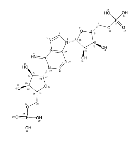 N=c1c2ncn([C@@H]3O[C@H](COP(=O)(O)O)[C@@H](O)[C@H]3O)c2ncn1[C@@H]1O[C@H](COP(=O)(O)O)[C@@H](O)[C@H]1O